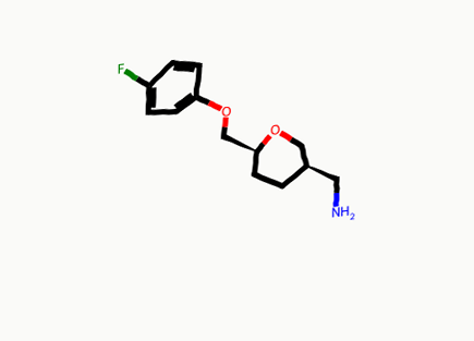 NC[C@H]1CC[C@@H](COc2ccc(F)cc2)OC1